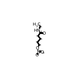 CCNC(=O)CCCCO[N+](=O)[O-]